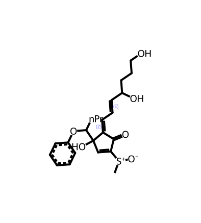 CCCC(Oc1ccccc1)C1(O)C=C([S+](C)[O-])C(=O)/C1=C\C=C\C(O)CCCO